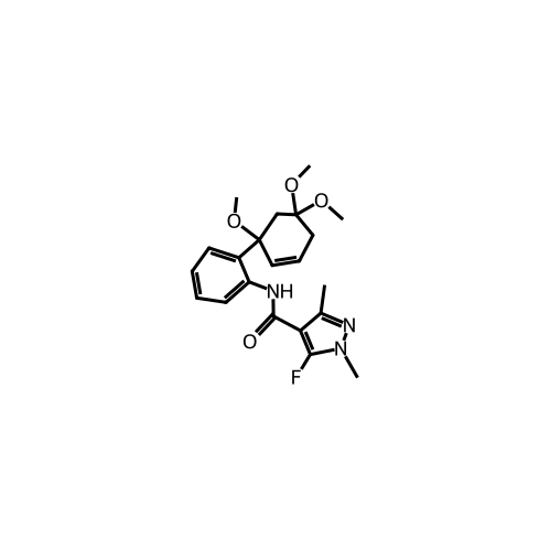 COC1(OC)CC=CC(OC)(c2ccccc2NC(=O)c2c(C)nn(C)c2F)C1